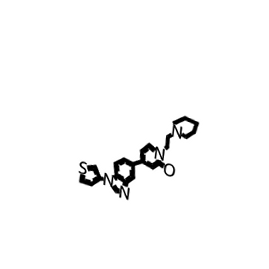 O=c1cc(-c2ccc3c(c2)ncn3-c2ccsc2)ccn1CCN1CCCCC1